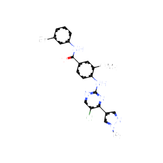 CCc1cccc(NC(=O)c2ccc(Nc3ncc(Cl)c(-c4cnn(C(C)C)c4)n3)c(OC)c2)c1